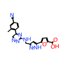 Cc1cc(C#N)ccc1-c1cnnc(NCc2cc(-c3ccc(C(=O)O)o3)[nH]n2)n1